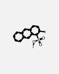 O=S(=O)(OI)c1c(I)ccc2cc3ccccc3cc12